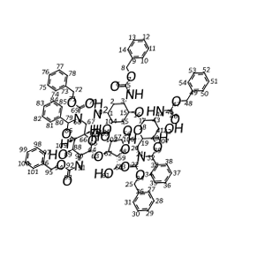 N[C@@H]1C[C@H](NC(=O)OCc2ccccc2)[C@@H](O[C@H]2O[C@@H]3CN(C(=O)OCc4ccccc4)C(c4ccccc4)O[C@H]3[C@@H](O)[C@H]2NC(=O)OCc2ccccc2)[C@H](O[C@@H]2O[C@H](CO)[C@@H](O[C@H]3O[C@H]4CN(C(=O)OCc5ccccc5)C(c5ccccc5)O[C@H]4[C@H](O)/C3=N\C(=O)OCc3ccccc3)[C@H]2O)[C@H]1O